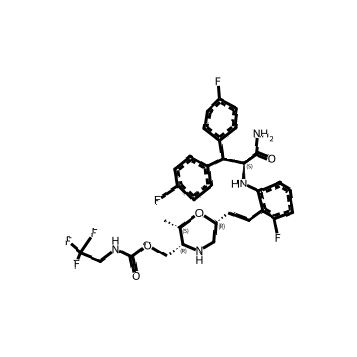 C[C@@H]1O[C@H](CCc2c(F)cccc2N[C@H](C(N)=O)C(c2ccc(F)cc2)c2ccc(F)cc2)CN[C@@H]1COC(=O)NCC(F)(F)F